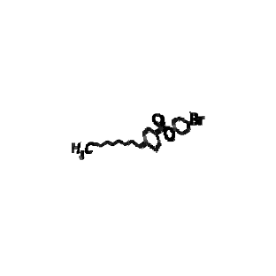 CCCCCCCCCC1CCC(C(=O)OC2CCC(Br)CC2)CC1